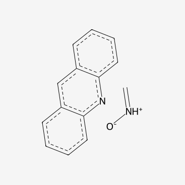 C=[NH+][O-].c1ccc2nc3ccccc3cc2c1